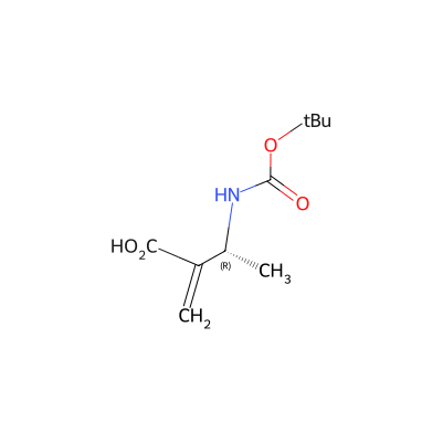 C=C(C(=O)O)[C@@H](C)NC(=O)OC(C)(C)C